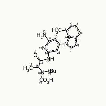 Cc1cccc2ccn(-c3cc(N)nc(NC(=O)C(C)N(C(=O)O)C(C)(C)C)c3)c12